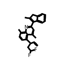 C=CC(CC(F)F)c1ccc(C)c2nc(C3=C(C)Cc4ccccc43)cc(C)c12